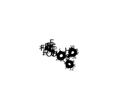 OC(COc1ccc([SH](c2ccccc2)c2ccccc2)cc1)(C(F)(F)F)C(F)(F)F